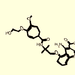 COC1=C(OCCO)C=CC(C(=O)NC(C)(C)COc2cccc3nc(C)c(C(=O)O)c(N)c23)C=C1